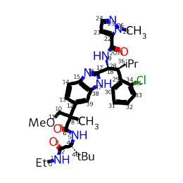 CCNC(=O)[C@H](NC(=O)C(C)(COC)c1ccc2nc([C@@H](NC(=O)c3ccnn3C)[C@H](c3ccccc3Cl)C(C)C)[nH]c2c1)C(C)(C)C